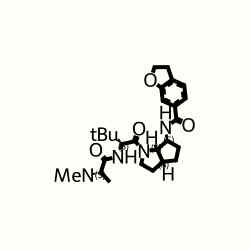 CN[C@@H](C)C(=O)N[C@H](C(=O)N1CC[C@H]2CC[C@H](NC(=O)c3ccc4c(c3)OCC4)[C@H]21)C(C)(C)C